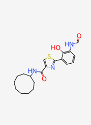 O=CNc1cccc(-c2nc(C(=O)NC3CCCCCCCC3)cs2)c1O